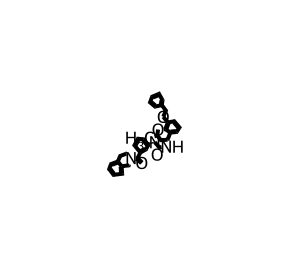 CC12CC(NC(=O)N1c1cccc(C(=O)N3CCc4ccccc4C3)c1)c1cccc(OCc3ccccc3)c1O2